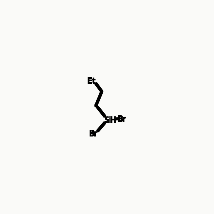 CCCC[SiH](Br)Br